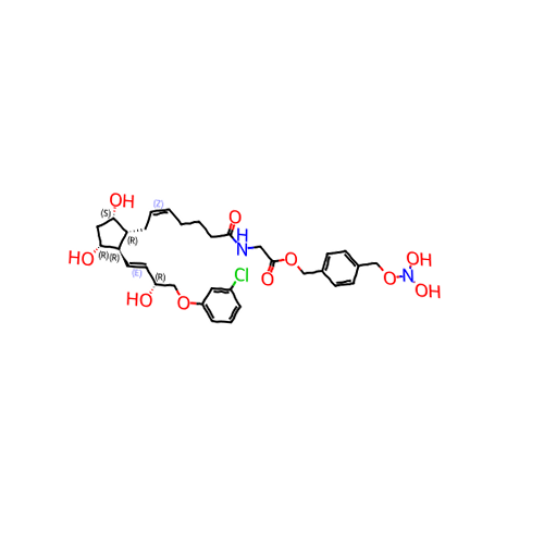 O=C(CCC/C=C\C[C@@H]1[C@@H](/C=C/[C@@H](O)COc2cccc(Cl)c2)[C@H](O)C[C@@H]1O)NCC(=O)OCc1ccc(CON(O)O)cc1